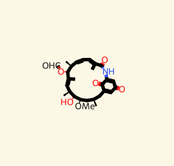 CO[C@H]1C[C@H](C)CC2=CC(=O)C=C(NC(=O)/C(C)=C/C=C\[C@H](C)[C@@H](OC=O)/C(C)=C/[C@H](C)[C@H]1O)C2=O